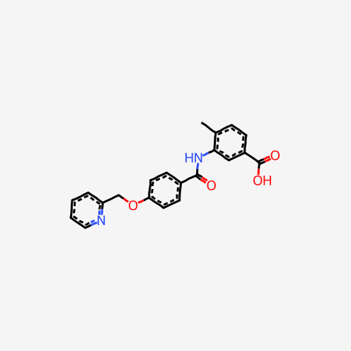 Cc1ccc(C(=O)O)cc1NC(=O)c1ccc(OCc2ccccn2)cc1